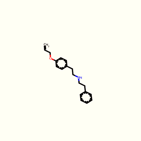 C=CCOc1ccc(CCNCCc2ccccc2)cc1